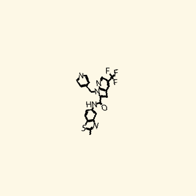 Cc1nc2cc(NC(=O)c3cc4cc(C(F)(F)F)cnc4n3Cc3ccncc3)ccc2s1